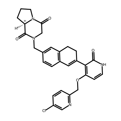 O=C1[C@H]2CCCN2C(=O)CN1Cc1ccc2c(c1)CCC(c1c(OCc3ccc(Cl)cn3)cc[nH]c1=O)=C2